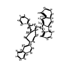 c1ccc(-c2nc(-n3c4ccccc4c4cc5ccccc5cc43)c3ccc(-c4ccc5ccccc5c4)cc3n2)cc1